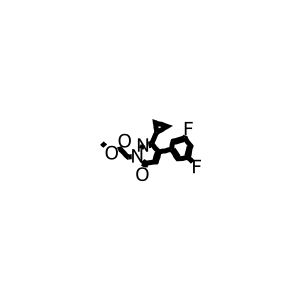 COC(=O)Cn1nc(C2CC2)c(-c2cc(F)cc(F)c2)cc1=O